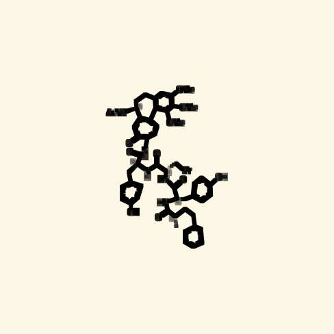 COc1cc2c(c(OC)c1OC)-c1ccc(NC(=O)[C@H](Cc3ccc(O)cc3)NC(=O)[C@H](CC(C)C)NC(=O)[C@H](Cc3ccc(O)cc3)NC(=O)[C@@H](C)CCc3ccccc3)c(=O)cc1[C@@H](NC(C)=O)CC2